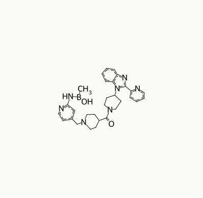 CB(O)Nc1cc(CN2CCC(C(=O)N3CCC(n4c(-c5ccccn5)nc5ccccc54)CC3)CC2)ccn1